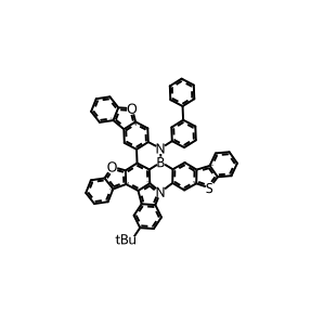 CC(C)(C)c1ccc2c(c1)c1c3c(oc4ccccc43)c3c4c1n2-c1cc2sc5ccccc5c2cc1B4N(c1cccc(-c2ccccc2)c1)c1cc2oc4ccccc4c2cc1-3